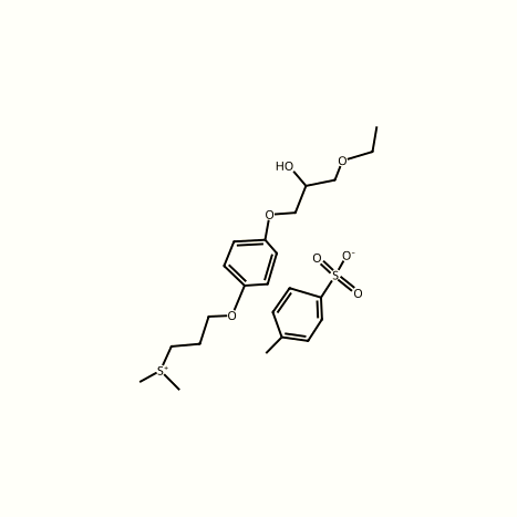 CCOCC(O)COc1ccc(OCCC[S+](C)C)cc1.Cc1ccc(S(=O)(=O)[O-])cc1